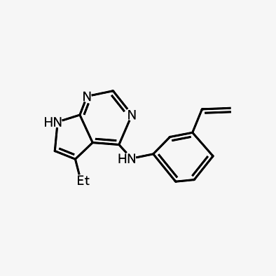 C=Cc1cccc(Nc2ncnc3[nH]cc(CC)c23)c1